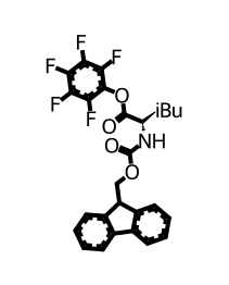 CC[C@H](C)[C@H](NC(=O)OCC1c2ccccc2-c2ccccc21)C(=O)Oc1c(F)c(F)c(F)c(F)c1F